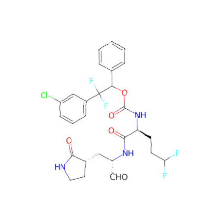 O=C[C@H](C[C@@H]1CCNC1=O)NC(=O)[C@H](CCC(F)F)NC(=O)OC(c1ccccc1)C(F)(F)c1cccc(Cl)c1